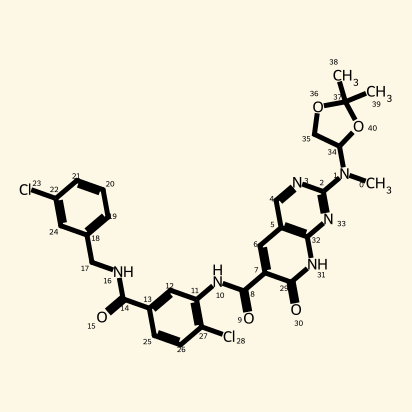 CN(c1ncc2cc(C(=O)Nc3cc(C(=O)NCc4cccc(Cl)c4)ccc3Cl)c(=O)[nH]c2n1)C1COC(C)(C)O1